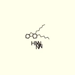 CCCCCCc1ccc2c(c1CCCCCC)Cc1ccccc1-2.c1nnn[nH]1